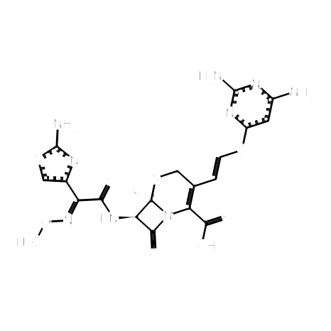 CON=C(C(=O)N[C@@H]1C(=O)N2C(C(=O)O)=C(/C=C/Sc3cc(N)nc(N)n3)CS[C@H]12)c1csc(N)n1